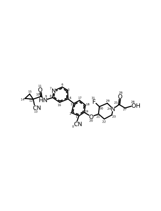 N#Cc1cc(-c2ccnc(NC(=O)C3(C#N)CC3)c2)ccc1OC1CCN(C(=O)CO)CC1F